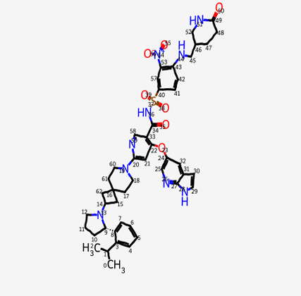 CC(C)c1ccccc1[C@@H]1CCCN1C1CC2(CCN(c3cc(Oc4cnc5[nH]ccc5c4)c(C(=O)NS(=O)(=O)c4ccc(NCC5CCC(=O)NC5)c([N+](=O)[O-])c4)cn3)CC2)C1